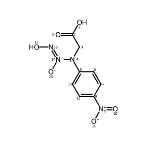 O=C(O)CN(c1ccc([N+](=O)[O-])cc1)/[N+]([O-])=N/O